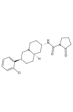 O=C1CCCN1C(=O)N[C@H]1CCN2C[C@H](c3ccccc3Cl)CC[C@@H]2C1